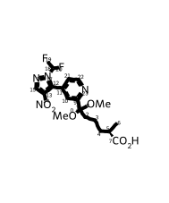 COC(CCC[C@@H](C)C(=O)O)(OC)c1cc(-c2c([N+](=O)[O-])cnn2C(F)F)ccn1